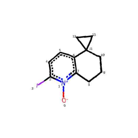 [O-][n+]1c(I)ccc2c1CCCC21CC1